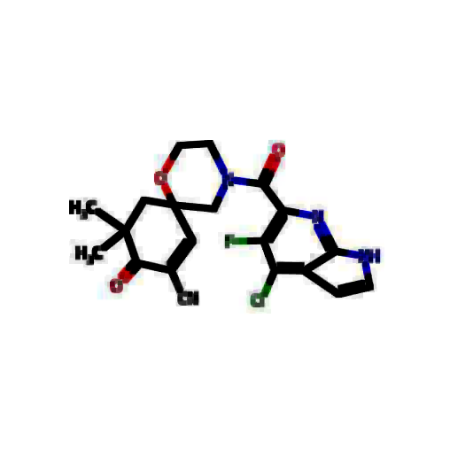 CC1(C)CC2(C=C(C#N)C1=O)CN(C(=O)c1nc3[nH]ccc3c(Cl)c1F)CCO2